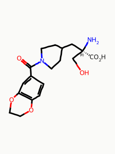 N[C@@](CO)(CC1CCN(C(=O)c2ccc3c(c2)OCCO3)CC1)C(=O)O